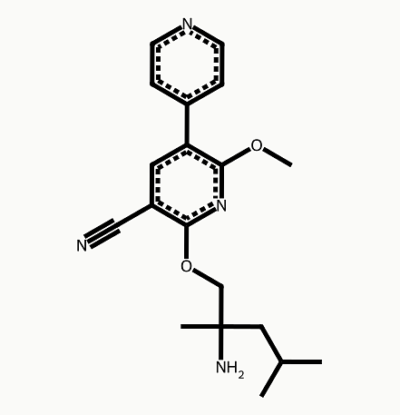 COc1nc(OCC(C)(N)CC(C)C)c(C#N)cc1-c1ccncc1